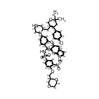 CC1(C)CC(c2ccc(Cl)cc2)=C(CC2CNCCN2c2ccc(C(=O)NS(=O)(=O)c3ccc(OCC4COCCO4)c([N+](=O)[O-])c3)c(Oc3cnc4[nH]ccc4c3)c2)CO1